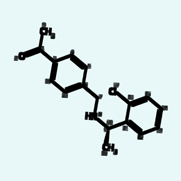 CC(=O)c1ccc(CN[C@H](C)c2ccccc2Cl)cc1